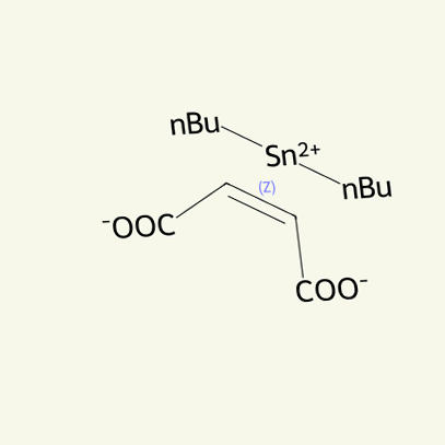 CCC[CH2][Sn+2][CH2]CCC.O=C([O-])/C=C\C(=O)[O-]